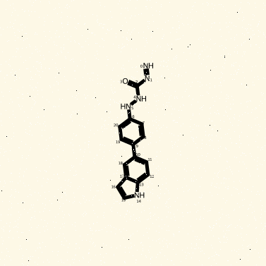 N=NC(=O)NNc1ccc(-c2ccc3[nH]ccc3c2)cc1